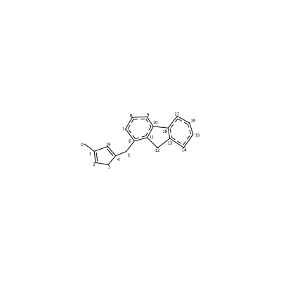 CC1=CCC(Cc2cccc3c2Cc2ccccc2-3)=C1